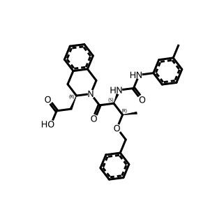 Cc1cccc(NC(=O)N[C@H](C(=O)N2Cc3ccccc3C[C@@H]2CC(=O)O)[C@@H](C)OCc2ccccc2)c1